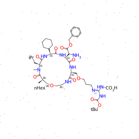 CCCCCC[C@H]1OC[C@@H](C)NC(=O)[C@H](COCCC/N=C(\NC(=O)O)NC(=O)OC(C)(C)C)NC(=O)[C@H](C(N)C(=O)OCc2ccccc2)NC(=O)[C@H](C2CCCCC2)NC(=O)[C@H](CC(C)C)N(C)C(=O)[C@@H]1C